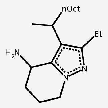 CCCCCCCCC(C)c1c(CC)nn2c1C(N)CCC2